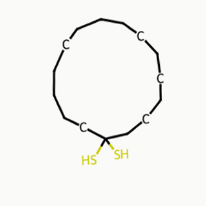 SC1(S)CCCCCCCCCCCCCC1